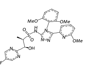 COc1cccc(-c2nnc(NS(=O)(=O)[C@H](C)[C@@H](O)c3ncc(F)cn3)n2-c2c(OC)cccc2OC)n1